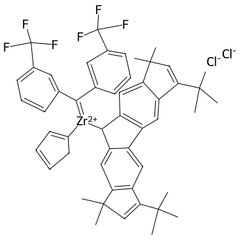 CC(C)(C)C1=CC(C)(C)c2cc3c(cc21)-c1cc2c(cc1[CH]3[Zr+2]([C]1=CC=CC1)=[C](c1cccc(C(F)(F)F)c1)c1cccc(C(F)(F)F)c1)C(C)(C)C=C2C(C)(C)C.[Cl-].[Cl-]